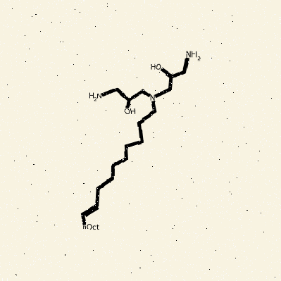 CCCCCCCCC=CCCCCCCCCN(CC(O)CN)CC(O)CN